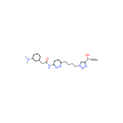 CNC(O)c1cn(CCCCc2ccc(NC(=O)Cc3cccc(N(C)C)c3)nn2)nn1